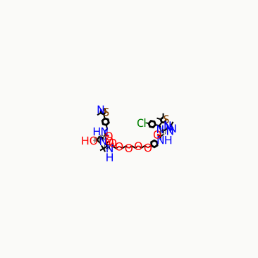 Cc1ncsc1-c1ccc(CNC(=O)[C@@H]2C[C@@H](O)CN2C(=O)[C@@H](NC(=O)COCCOCCOCCOc2ccc(NC(=O)C[C@@H]3N=C(c4ccc(Cl)cc4)c4c(sc(C)c4C)-n4c(C)nnc43)cc2)C(C)(C)C)cc1